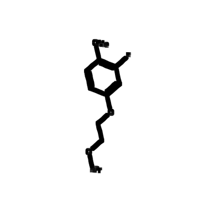 CCCOCCOc1ccc(OC)c(F)c1